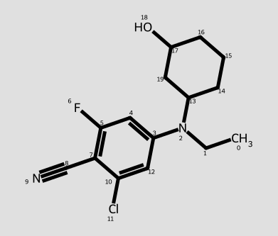 CCN(c1cc(F)c(C#N)c(Cl)c1)C1CCCC(O)C1